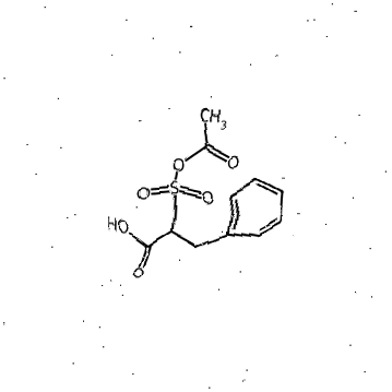 CC(=O)OS(=O)(=O)C(Cc1ccccc1)C(=O)O